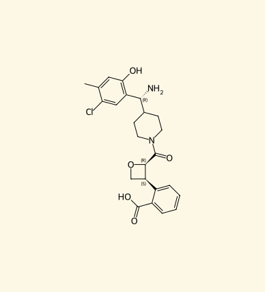 Cc1cc(O)c([C@H](N)C2CCN(C(=O)[C@@H]3OC[C@@H]3c3ccccc3C(=O)O)CC2)cc1Cl